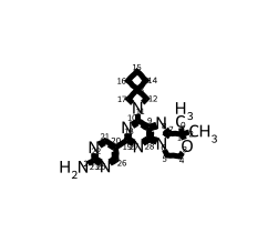 CC1(C)OCCn2c1nc1c(N3CC4(CCC4)C3)nc(-c3cnc(N)nc3)nc12